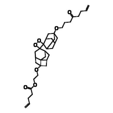 C=CCCC(=O)CCCOC12CC3CC(C1)C1(OOC14C1CC5CC6(OCCOC(=O)CCC=C)CC4CC56C1)C(C3)C2